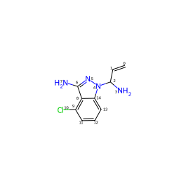 C=CC(N)n1nc(N)c2c(Cl)cccc21